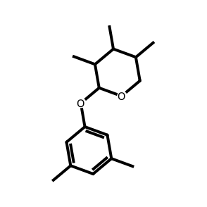 Cc1cc(C)cc(OC2OCC(C)C(C)C2C)c1